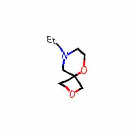 CCN1CCOC2(COC2)C1